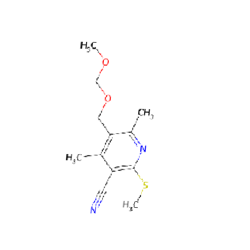 COCOCc1c(C)nc(SC)c(C#N)c1C